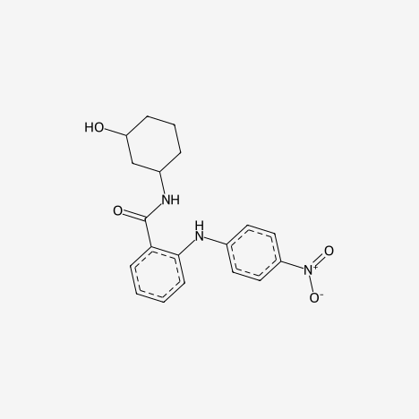 O=C(NC1CCCC(O)C1)c1ccccc1Nc1ccc([N+](=O)[O-])cc1